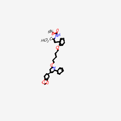 CC(C)(C)OC(=O)NC(Cc1ccccc1OCCCCCOc1cc(-c2ccc3c(c2)OCO3)cc(-c2ccccc2)n1)C(=O)O